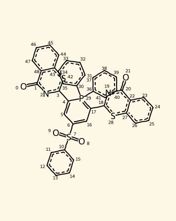 O=c1nc(C2=CC(S(=O)(=O)c3ccccc3)=CC(c3nc(=O)c4ccccc4s3)=P2(c2ccccc2)c2ccccc2)sc2ccccc12